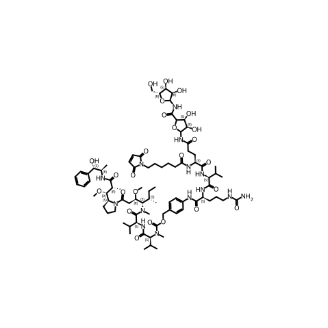 CC[C@H](C)[C@@H]([C@@H](CC(=O)N1CCC[C@H]1[C@H](OC)[C@@H](C)C(=O)N[C@H](C)[C@@H](O)c1ccccc1)OC)N(C)C(=O)[C@@H](NC(=O)[C@H](C(C)C)N(C)C(=O)OCc1ccc(NC(=O)[C@H](CCCNC(N)=O)NC(=O)[C@@H](NC(=O)[C@H](CCC(=O)NC2OC(C(=O)NC3O[C@H](CO)[C@@H](O)[C@H]3O)[C@@H](O)[C@H]2O)NC(=O)CCCCCN2C(=O)C=CC2=O)C(C)C)cc1)C(C)C